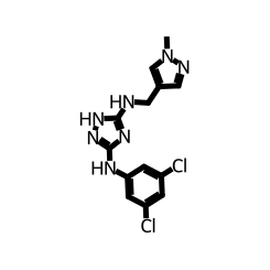 Cn1cc(CNc2nc(Nc3cc(Cl)cc(Cl)c3)n[nH]2)cn1